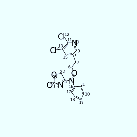 O=C1N=C(N(OCCc2cnc(Cl)c(Cl)c2)c2ccccc2)CO1